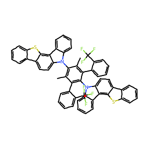 Cc1c(-c2ccccc2C(F)(F)F)c(-n2c3ccccc3c3c4sc5ccccc5c4ccc32)c(-c2ccccc2C(F)(F)F)c(C)c1-n1c2ccccc2c2c3sc4ccccc4c3ccc21